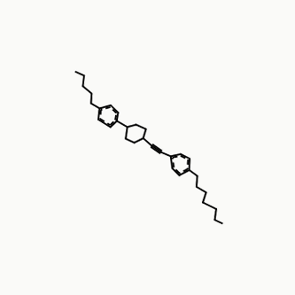 CCCCCCCc1ccc(C#CC2CCC(c3ccc(CCCCC)cc3)CC2)cc1